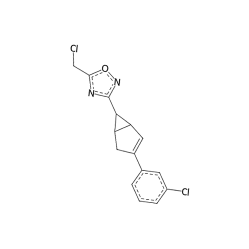 ClCc1nc(C2C3C=C(c4cccc(Cl)c4)CC32)no1